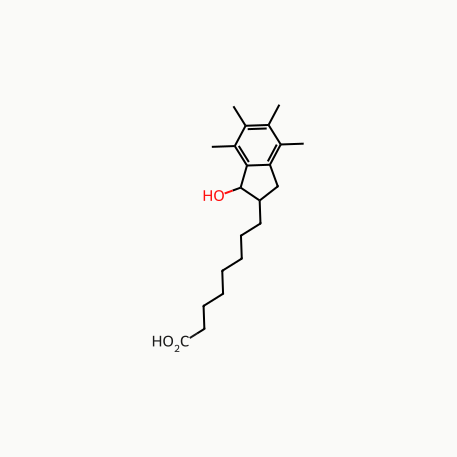 Cc1c(C)c(C)c2c(c1C)CC(CCCCCCCC(=O)O)C2O